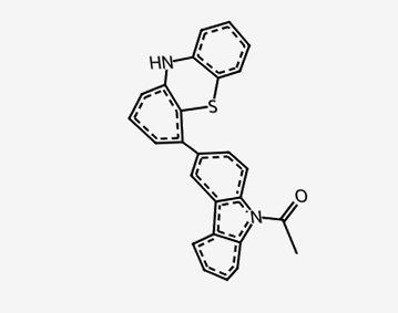 CC(=O)n1c2ccccc2c2cc(-c3cccc4c3Sc3ccccc3N4)ccc21